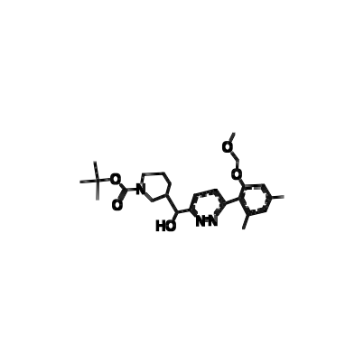 COCOc1cc(C)cc(C)c1-c1ccc(C(O)C2CCCN(C(=O)OC(C)(C)C)C2)nn1